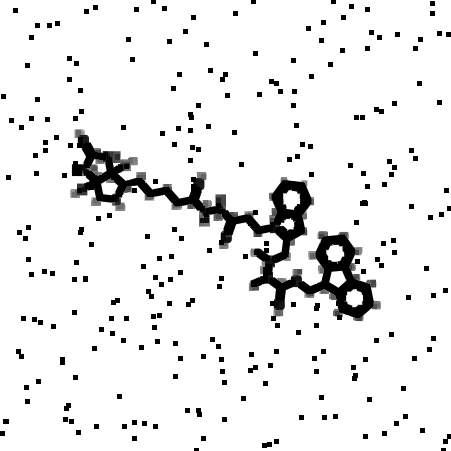 CN(Cc1cc2ccccc2n1CCC(=O)NNC(=O)CCCC[C@H]1SC[C@@H]2NC(=O)N[C@@H]21)N(C)C(=O)OCC1c2ccccc2-c2ccccc21